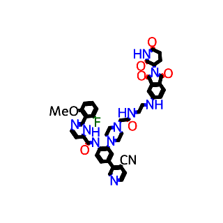 COc1cccc(F)c1-c1nccc(C(=O)Nc2ccc(-c3cnccc3C#N)cc2N2CCN(CC(=O)NCCNc3ccc4c(c3)C(=O)N(C3CCC(=O)NC3=O)C4=O)CC2)n1